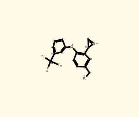 OCc1ccc(Oc2cccc(C(F)(F)F)c2)c(C2C=N2)c1